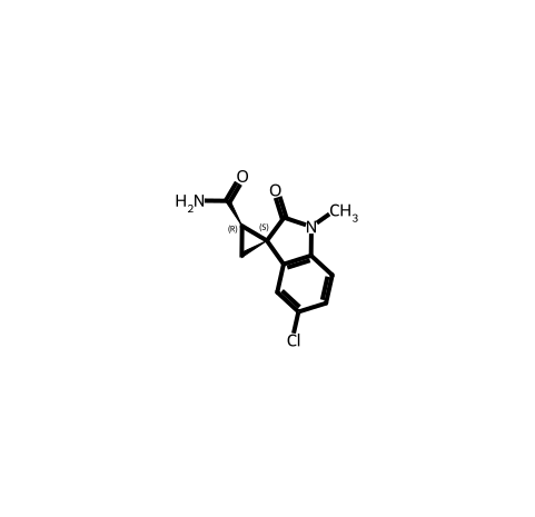 CN1C(=O)[C@]2(C[C@H]2C(N)=O)c2cc(Cl)ccc21